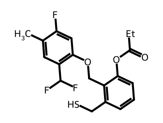 CCC(=O)Oc1cccc(CS)c1COc1cc(F)c(C)cc1C(F)F